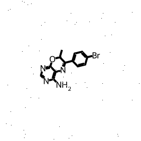 CC1Oc2ncnc(N)c2N=C1c1ccc(Br)cc1